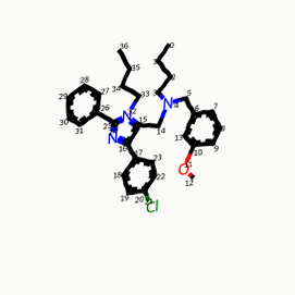 CCCCN(Cc1cccc(OC)c1)Cc1c(-c2ccc(Cl)cc2)nc(-c2ccccc2)n1CCCC